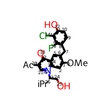 COc1cc2c(cc1Cc1ccc(O)c(Cl)c1F)c(=O)c(C(C)=O)cn2[C@H](CO)C(C)C